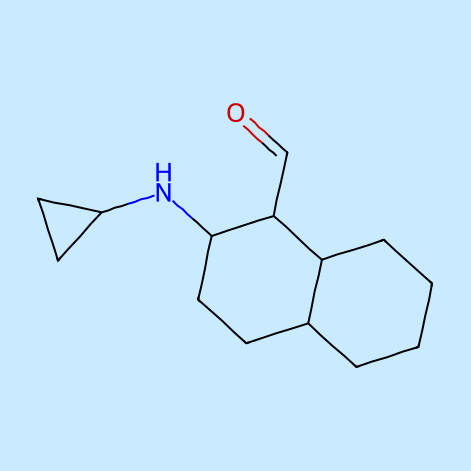 O=CC1C(NC2CC2)CCC2CCCCC21